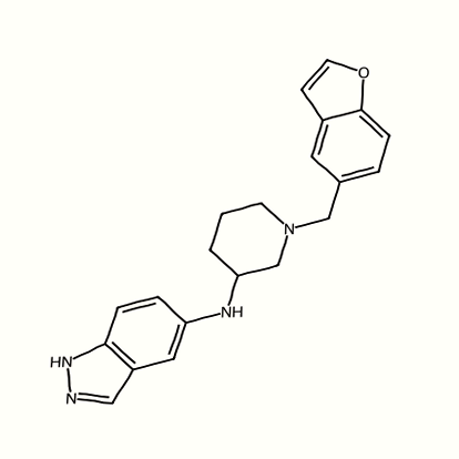 c1cc2cc(CN3CCCC(Nc4ccc5[nH]ncc5c4)C3)ccc2o1